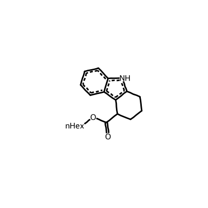 CCCCCCOC(=O)C1CCCc2[nH]c3ccccc3c21